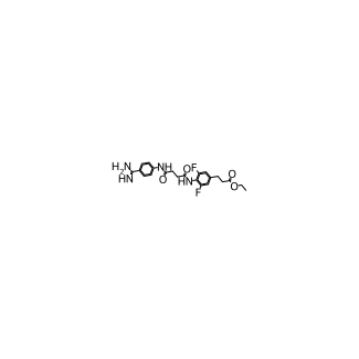 CCOC(=O)CCc1cc(F)c(NC(=O)CCC(=O)Nc2ccc(C(=N)N)cc2)c(F)c1